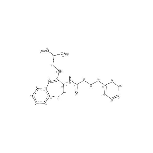 COC(CNC1=Nc2ccccc2CC[C@H]1NC(=O)CCCC1=CC=CCC1)OC